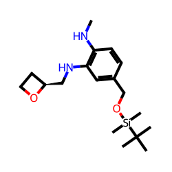 CNc1ccc(CO[Si](C)(C)C(C)(C)C)cc1NC[C@@H]1CCO1